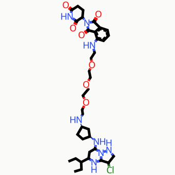 CCC(CC)C1CC(N[C@H]2CC[C@H](NCCOCCOCCOCCNc3cccc4c3C(=O)N(C3CCC(=O)NC3=O)C4=O)C2)N2NCC(Cl)C2N1